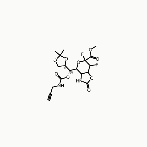 C#CCNC(=O)O[C@@H](C1OC(F)(C(=O)OC)C(F)C2OC(=O)NC21)[C@H]1COC(C)(C)O1